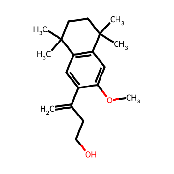 C=C(CCO)c1cc2c(cc1OC)C(C)(C)CCC2(C)C